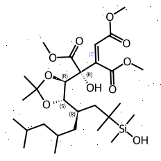 COC(=O)/C=C(\C(=O)OC)[C@](O)(C(=O)OC)[C@@H]1OC(C)(C)O[C@H]1[C@H](CC(C)CC(C)C)CC(C)(C)[Si](C)(C)O